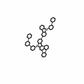 c1ccc(-c2cccc(-c3cccc(-n4c5ccc(-c6ccc7c(c6)c6ccccc6n7-c6cccc(-c7ccccc7)c6)cc5c5c6cccc7c6c(cc54)-c4ccccc4-7)c3)c2)cc1